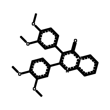 COc1ccc(-c2nc3ccccn3c(=O)c2-c2ccc(OC)c(OC)c2)cc1OC